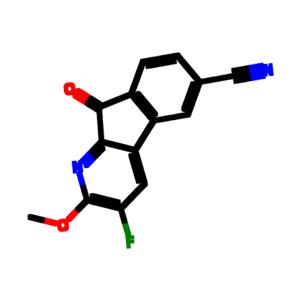 COc1nc2c(cc1F)-c1cc(C#N)ccc1C2=O